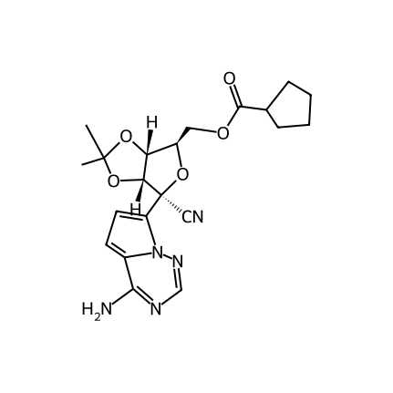 CC1(C)O[C@H]2[C@@H](O1)[C@](C#N)(c1ccc3c(N)ncnn13)O[C@@H]2COC(=O)C1CCCC1